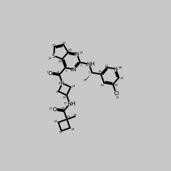 C[C@H](Nc1nc(C(=O)N2CC(NC(=O)C3(C)CCC3)C2)c2sccc2n1)c1cncc(Cl)c1